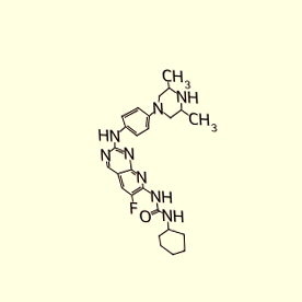 CC1CN(c2ccc(Nc3ncc4cc(F)c(NC(=O)NC5CCCCC5)nc4n3)cc2)CC(C)N1